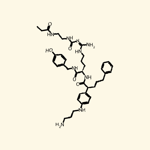 CCC(=O)NCCNC(=O)/N=C(/N)NCCC[C@@H](NC(=O)C(CCCc1ccccc1)c1ccc(NCCCN)cc1)C(=O)NCc1ccc(O)cc1